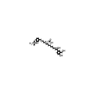 CC(=O)O.CS(=O)(=O)Nc1cccc(COCCOCCCCCCCNC[C@H](O)c2ccc(O)c(CO)c2)c1